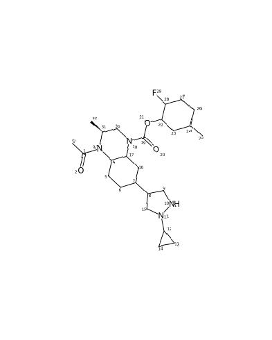 CC(=O)N1C2CCC(C3CNN(C4CC4)C3)CC2N(C(=O)OC2CC(C)CCC2F)C[C@@H]1C